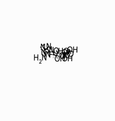 CN(C)c1nc(N)nc2c1ncn2[C@@H]1O[C@H](COP(=O)(O)OP(=O)(O)O)[C@@H](O)[C@@]1(C)F